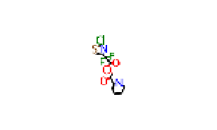 O=C(COC(=O)C(F)(F)c1csc(Cl)n1)c1ccccn1